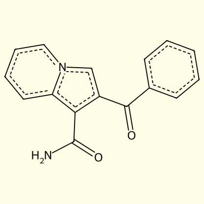 NC(=O)c1c(C(=O)c2ccccc2)cn2ccccc12